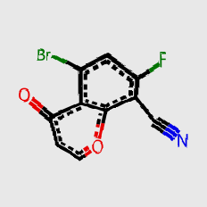 N#Cc1c(F)cc(Br)c2c(=O)ccoc12